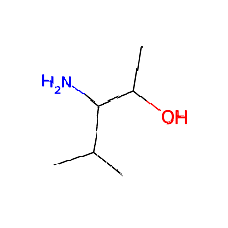 CC(C)C(N)C(C)O